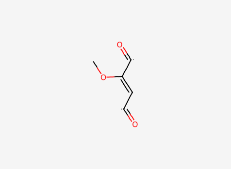 CO/C([C]=O)=C\[C]=O